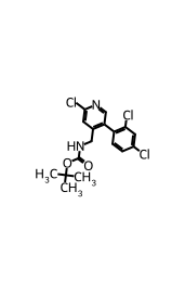 CC(C)(C)OC(=O)NCc1cc(Cl)ncc1-c1ccc(Cl)cc1Cl